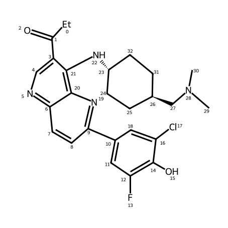 CCC(=O)c1cnc2ccc(-c3cc(F)c(O)c(Cl)c3)nc2c1N[C@H]1CC[C@H](CN(C)C)CC1